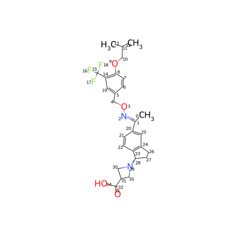 C/C(=N\OCc1ccc(OCC(C)C)c(C(F)(F)F)c1)c1ccc2c(c1)CC[C@H]2N1CC(C(=O)O)C1